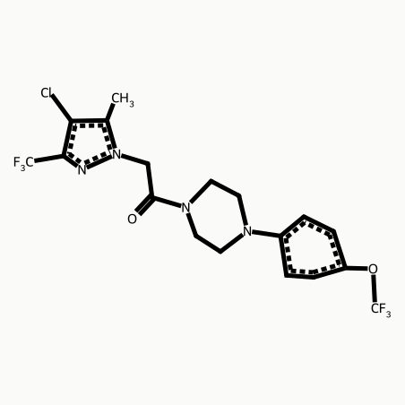 Cc1c(Cl)c(C(F)(F)F)nn1CC(=O)N1CCN(c2ccc(OC(F)(F)F)cc2)CC1